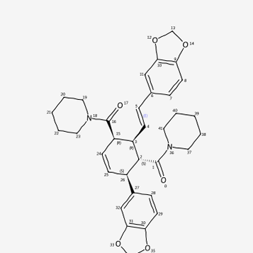 O=C([C@H]1[C@H](/C=C/c2ccc3c(c2)OCO3)[C@H](C(=O)N2CCCCC2)C=C[C@@H]1c1ccc2c(c1)OCO2)N1CCCCC1